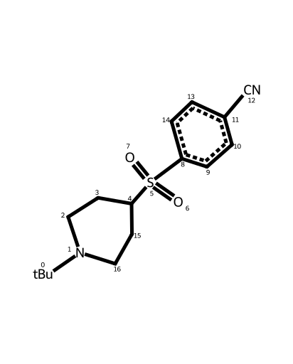 CC(C)(C)N1CCC(S(=O)(=O)c2ccc(C#N)cc2)CC1